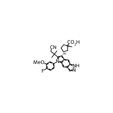 COc1cc(-n2c(C(C)(C)CC#N)c([C@@H]3CC[C@@](C)(C(=O)O)C3)c3cc4[nH]ncc4cc32)ccc1F